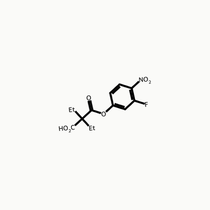 CCC(CC)(C(=O)O)C(=O)Oc1ccc([N+](=O)[O-])c(F)c1